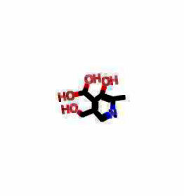 Cc1ncc(CO)c(C(O)O)c1O